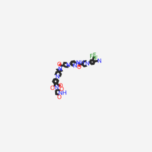 N#Cc1ccc(N2CCC(C(=O)Nc3ccc(N4CCC(C(=O)N5CC6(CCN(c7ccc8c(c7)C(=O)N(C7CCC(=O)NC7=O)C8=O)CC6)C5)CC4)cn3)CC2)cc1C(F)(F)F